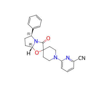 N#Cc1cccc(N2CCC3(CC2)O[C@@H]2CC[C@@H](c4ccccc4)N2C3=O)n1